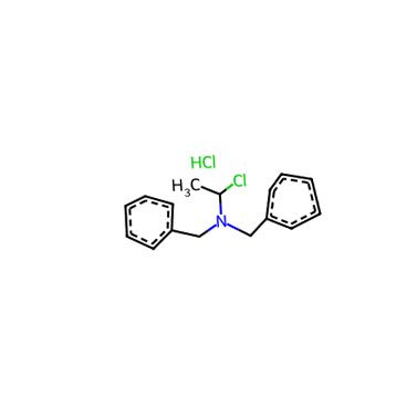 CC(Cl)N(Cc1ccccc1)Cc1ccccc1.Cl